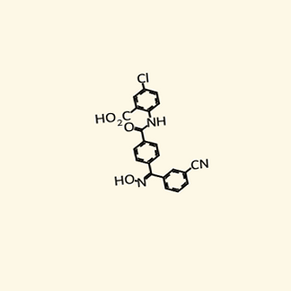 N#Cc1cccc(C(=NO)c2ccc(C(=O)Nc3ccc(Cl)cc3C(=O)O)cc2)c1